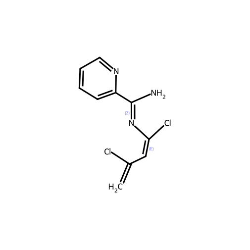 C=C(Cl)/C=C(Cl)\N=C(/N)c1ccccn1